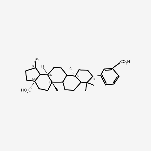 CC(C)[C@@H]1CC[C@]2(C(=O)O)CC[C@@]3(C)C4CCC5C(C)(C)[C@@H](c6cccc(C(=O)O)c6)CC[C@]5(C)C4CC[C@@H]3C12